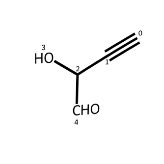 C#CC(O)C=O